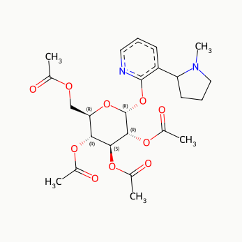 CC(=O)OC[C@H]1O[C@H](Oc2ncccc2C2CCCN2C)[C@H](OC(C)=O)[C@@H](OC(C)=O)[C@@H]1OC(C)=O